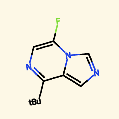 CC(C)(C)c1ncc(F)n2cncc12